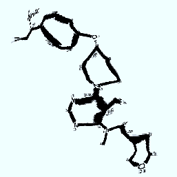 CC(=O)N[C@@H](C)c1ccc(O[C@@H]2CCN(c3ncnc(N(C)CC4CCOC4)c3F)C2)cc1